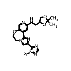 CC(C)n1ncnc1-c1cn2c(n1)-c1cc(NCC3COC(C)(C)O3)ncc1OCC2